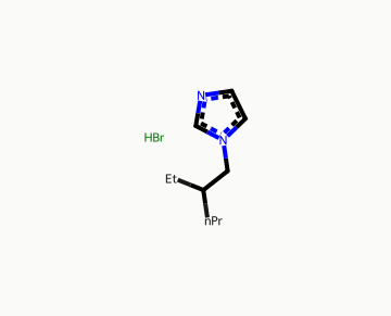 Br.CCCC(CC)Cn1ccnc1